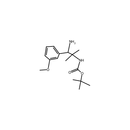 COc1cccc(C(N)C(C)(C)NC(=O)OC(C)(C)C)c1